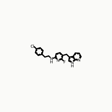 Fc1nc(NCCc2ccc(Cl)cc2)ccc1Cc1c[nH]c2ncccc12